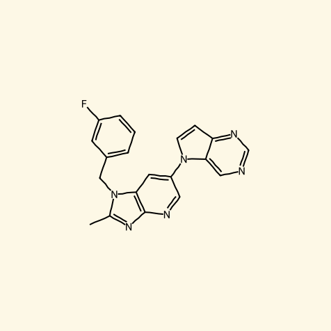 Cc1nc2ncc(-n3ccc4ncncc43)cc2n1Cc1cccc(F)c1